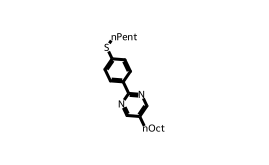 CCCCCCCCc1cnc(-c2ccc(SCCCCC)cc2)nc1